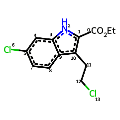 CCOC(=O)c1[nH]c2cc(Cl)ccc2c1CCCl